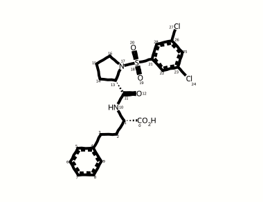 O=C(O)[C@H](CCc1ccccc1)NC(=O)[C@@H]1CCCN1S(=O)(=O)c1cc(Cl)cc(Cl)c1